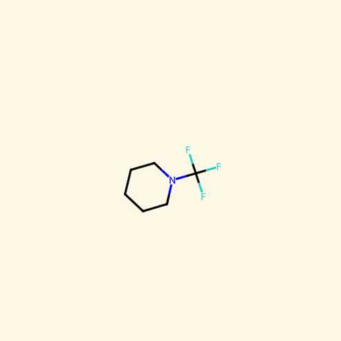 FC(F)(F)N1CCCCC1